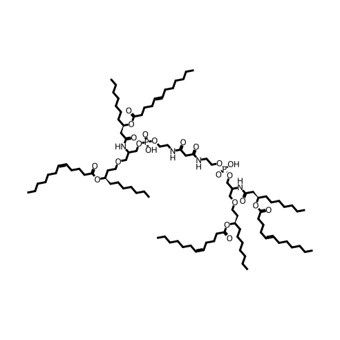 CCCCCC/C=C\CCCC(=O)O[C@H](CCCCCCC)CCOCC(COP(=O)(O)OCCNC(=O)CC(=O)NCCOP(=O)(O)OCC(COCC[C@@H](CCCCCCC)OC(=O)CCC/C=C\CCCCCC)NC(=O)C[C@@H](CCCCCCC)OC(=O)CCC/C=C/CCCCCC)NC(=O)C[C@@H](CCCCCCC)OC(=O)CCC/C=C/CCCCCC